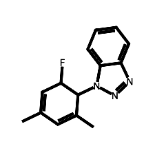 CC1=CC(F)C(n2nnc3ccccc32)C(C)=C1